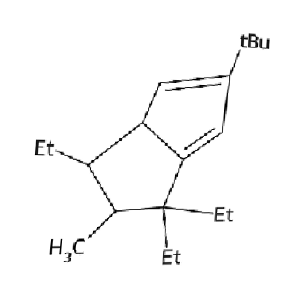 CCC1C2C=C(C(C)(C)C)C=C2C(CC)(CC)C1C